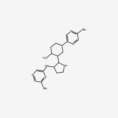 CC(C)(C)c1cnc(N2CCC(N)C(C3NCCC3Nc3cncc(C(C)(C)C)n3)C2)cn1